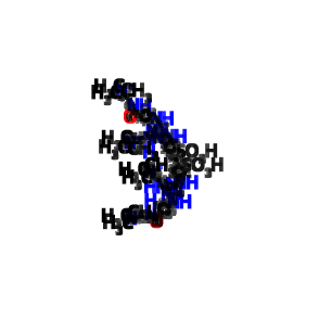 C[N+](C)(C)CCCNC(=O)c1ccc(Nc2nc(NCCC[N+](C)(C)C)nc(Nc3ccc(/C=C/c4ccc(Nc5nc(NCCC[N+](C)(C)C)nc(Nc6ccc(C(=O)NCCC[N+](C)(C)C)cc6)n5)cc4S(=O)(=O)O)c(S(=O)(=O)O)c3)n2)cc1